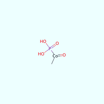 [CH3][Co](=[O])[P](=O)(O)O